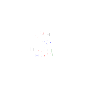 COc1cc(-c2cnc3cc(C4(C)COCCO4)ccn23)cc(OC(F)F)c1C(=O)NC1CC1